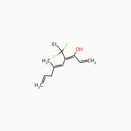 C=CC/C(C)=C/C(=C(/O)C=C)C(F)(F)CC